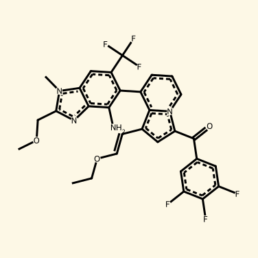 CCOC=Cc1cc(C(=O)c2cc(F)c(F)c(F)c2)n2cccc(-c3c(C(F)(F)F)cc4c(nc(COC)n4C)c3N)c12